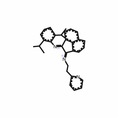 CC(C)c1cccc(C(C)C)c1/N=C1/C(=N/CCc2ccccn2)c2cccc3cccc1c23